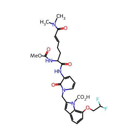 COC(=O)NC(CC/C=C/C(=O)N(C)C)C(=O)Nc1cccn(Cc2cc3cccc(OCC(F)F)c3n2C(=O)O)c1=O